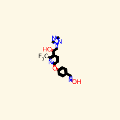 O/N=C/c1ccc(Oc2ccc(C(O)Cn3cncn3)c(C(F)(F)F)n2)cc1